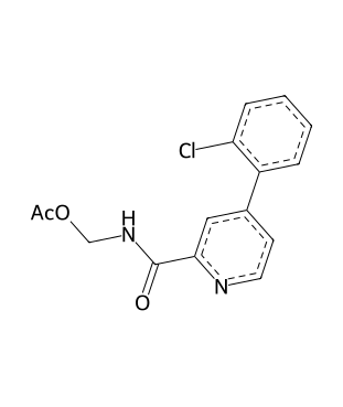 CC(=O)OCNC(=O)c1cc(-c2ccccc2Cl)ccn1